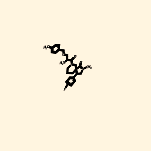 Cc1ccc(COCC(N)C(=O)N2CCCC3(C2)C(=O)N(C)CC3c2ccc(F)cc2)cc1